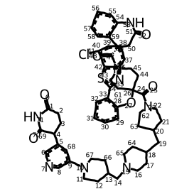 O=C1CCC(c2cncc(N3CCC(CN4CCC(CC5CCN(C(=O)C6(Oc7ccccc7-c7nc8cccc(Cl)c8s7)CCN(C(=O)[C@H]7CC(=O)Nc8ccccc87)CC6)CC5)CC4)CC3)c2)C(=O)N1